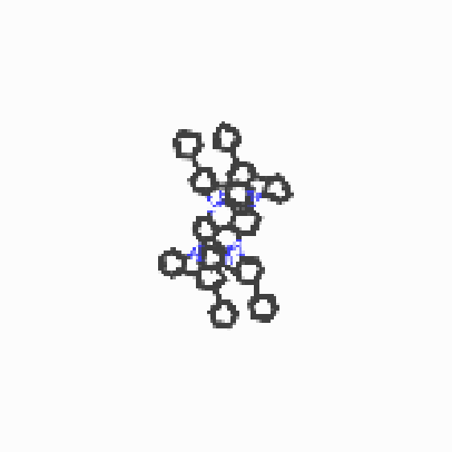 N#Cc1c(-n2c3ccccc3c3cc(-c4ccccc4)ccc32)ccc(-n2c3ccccc3c3cc(-c4ccccc4)ccc32)c1-c1c(-n2c3ccccc3c3cc(-c4ccccc4)ccc32)ccc(-n2c3ccccc3c3cc(-c4ccccc4)ccc32)c1C#N